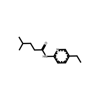 CCc1ccc(NC(=O)CCC(C)C)nc1